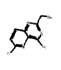 Nc1nc(CO)nc2ccc(Cl)nc12